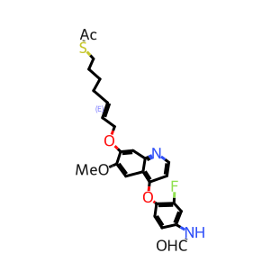 COc1cc2c(Oc3ccc(NC=O)cc3F)ccnc2cc1OC/C=C/CCCCSC(C)=O